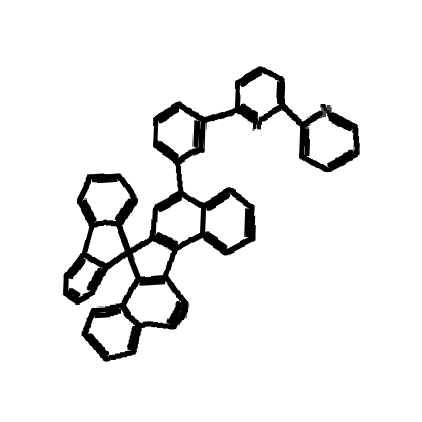 c1ccc(-c2cccc(-c3cccc(-c4cc5c(c6ccccc46)-c4ccc6ccccc6c4C54c5ccccc5-c5ccccc54)c3)n2)nc1